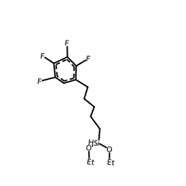 CCO[SiH](CCCCCc1cc(F)c(F)c(F)c1F)OCC